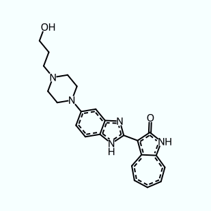 O=c1[nH]c2cccccc-2c1-c1nc2cc(N3CCN(CCCO)CC3)ccc2[nH]1